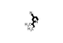 CCC(C)c1cc(C#N)ccn1